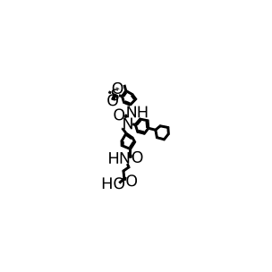 Cc1ccc(NC(=O)N(Cc2ccc(C(=O)NCCC(=O)O)cc2)c2ccc(C3CCCCC3)cc2)cc1S(C)(=O)=O